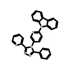 c1ccc(-c2nnc(-c3ccccn3)n2-c2ccc(-n3c4ccccc4c4ccccc43)nc2)cc1